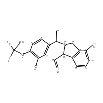 CC(c1ccc(OC(F)(F)F)c(Cl)c1)N1Cc2c(ccnc2Cl)C1C=O